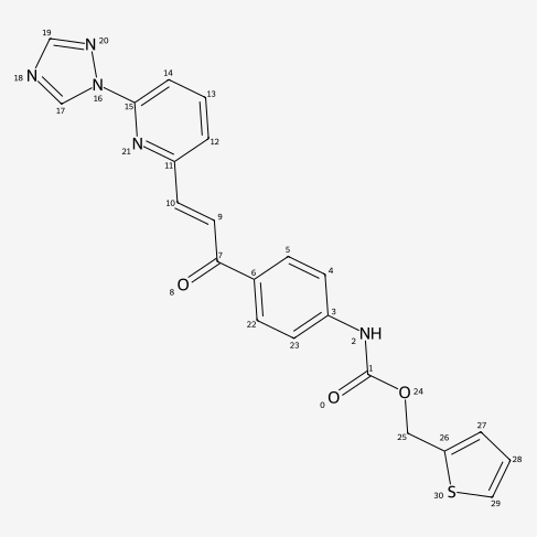 O=C(Nc1ccc(C(=O)C=Cc2cccc(-n3cncn3)n2)cc1)OCc1cccs1